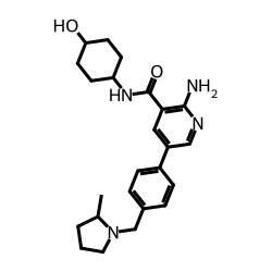 CC1CCCN1Cc1ccc(-c2cnc(N)c(C(=O)NC3CCC(O)CC3)c2)cc1